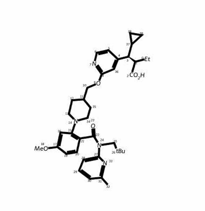 CCC(C(=O)O)[C@@H](c1ccnc(OCC2CCN(c3cc(OC)ccc3C(=O)N(CC(C)(C)C)c3cccc(C)n3)CC2)c1)C1CC1